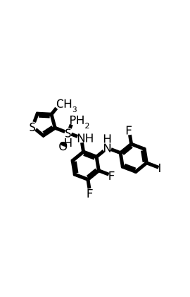 Cc1cscc1[SH](=O)(P)Nc1ccc(F)c(F)c1Nc1ccc(I)cc1F